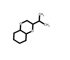 CC(C)C1COC2CCCCC2O1